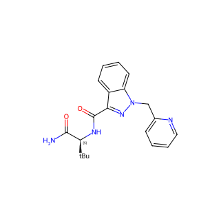 CC(C)(C)[C@H](NC(=O)c1nn(Cc2ccccn2)c2ccccc12)C(N)=O